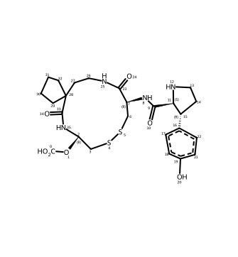 O=C(O)O[C@@H]1CSSC[C@H](NC(=O)[C@H]2NCC[C@@H]2c2ccc(O)cc2)C(=O)NCCC2(CCCC2)C(=O)N1